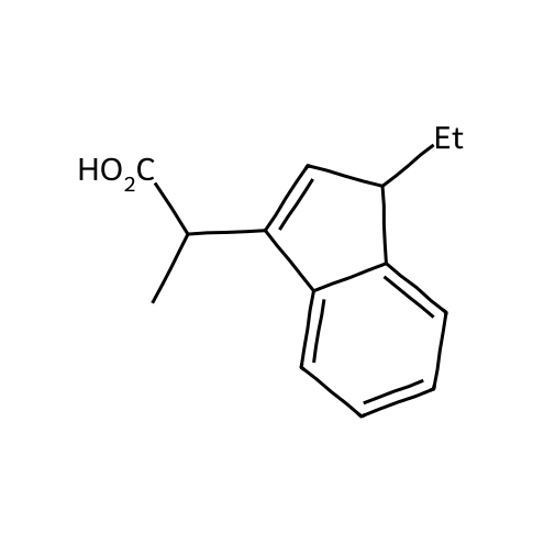 CCC1C=C(C(C)C(=O)O)c2ccccc21